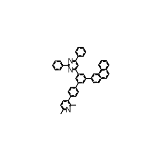 Cc1ccc(-c2ccc(-c3cc(-c4ccc5ccc6ccccc6c5c4)cc(-c4cc(-c5ccccc5)nc(-c5ccccc5)n4)c3)cc2)c(C)n1